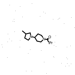 CC1CCN(C2CCN(C(=O)C(C)C)CC2)C1